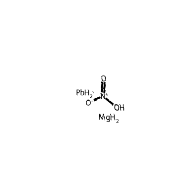 O=[N+]([O-])O.[MgH2].[PbH2]